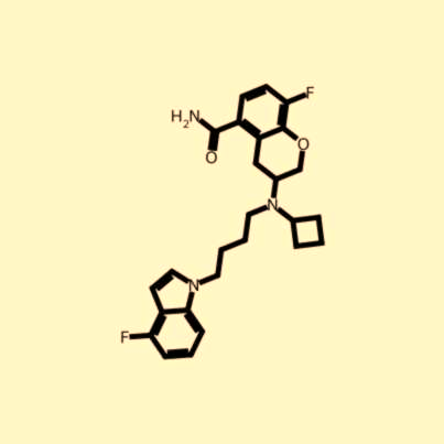 NC(=O)c1ccc(F)c2c1CC(N(CCCCn1ccc3c(F)cccc31)C1CCC1)CO2